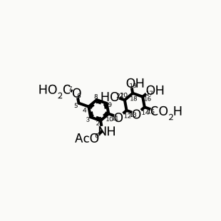 CC(=O)ONc1cc(COC(=O)O)ccc1OC1OC(C(=O)O)C(O)C(O)C1O